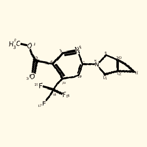 COC(=O)c1cnc(N2CC3CC3C2)cc1C(F)(F)F